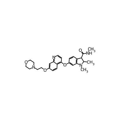 CNC(=O)C1c2ccc(Oc3ccnc4cc(OCCN5CCOCC5)ccc34)cc2N(C)C1C